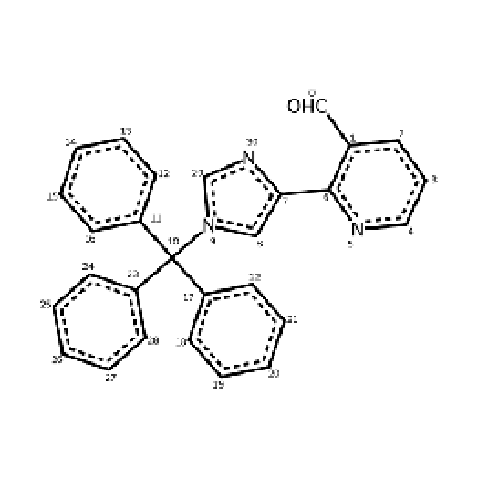 O=Cc1cccnc1-c1cn(C(c2ccccc2)(c2ccccc2)c2ccccc2)cn1